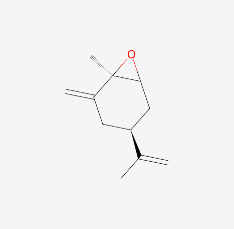 C=C(C)[C@H]1CC(=C)[C@@]2(C)OC2C1